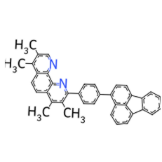 Cc1cnc2c(ccc3c(C)c(C)c(-c4ccc(-c5ccc6c7c(cccc57)-c5ccccc5-6)cc4)nc32)c1C